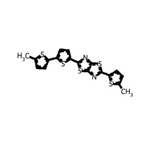 Cc1ccc(-c2ccc(-c3nc4sc(-c5ccc(C)s5)nc4s3)s2)s1